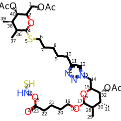 CC(=O)OCC1O[C@@H](SCCCCCc2cn(CC3O[C@H](OCCCCC(=O)ONS)C(C)[C@@H](C)[C@H]3OC(C)=O)nn2)C(C)[C@@H](C)[C@H]1OC(C)=O